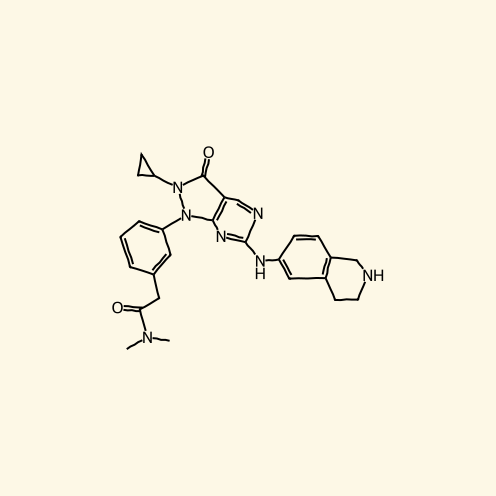 CN(C)C(=O)Cc1cccc(-n2c3nc(Nc4ccc5c(c4)CCNC5)ncc3c(=O)n2C2CC2)c1